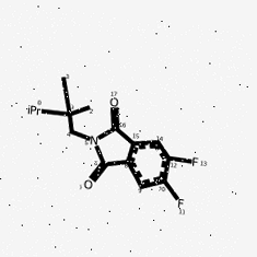 CC(C)C(C)(C)CN1C(=O)c2cc(F)c(F)cc2C1=O